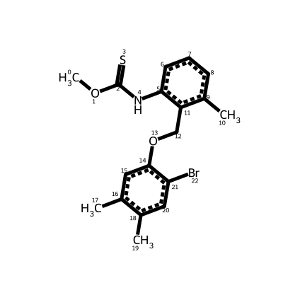 COC(=S)Nc1cccc(C)c1COc1cc(C)c(C)cc1Br